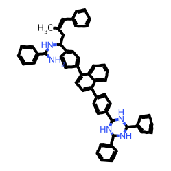 C/C(=C/c1ccccc1)CC(NC(N)c1ccccc1)c1ccc(-c2ccc(-c3ccc(C4NC(c5ccccc5)NC(c5ccccc5)N4)cc3)c3ccccc23)cc1